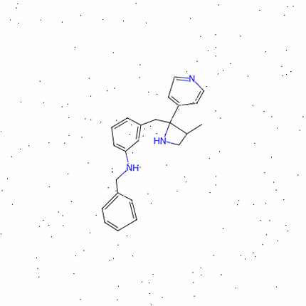 CC1CNC1(Cc1cccc(NCc2ccccc2)c1)c1ccncc1